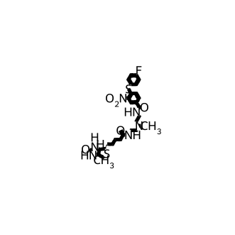 CN(CCNC(=O)CCCC[C@@H]1SC[C@]2(C)NC(=O)N[C@H]12)CCNC(=O)c1ccc(Sc2ccc(F)cc2)c([N+](=O)[O-])c1